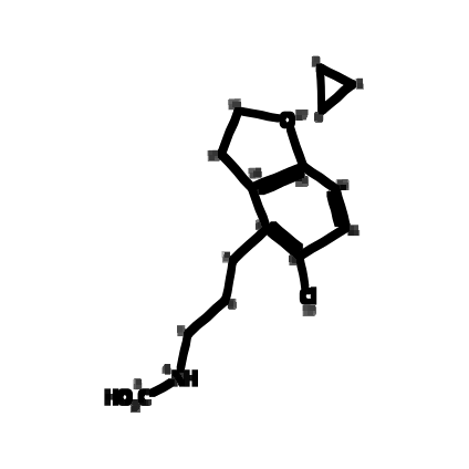 C1CC1.O=C(O)NCCCc1c(Cl)ccc2c1CCO2